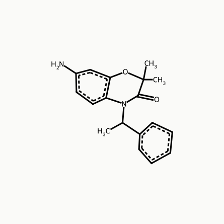 CC(c1ccccc1)N1C(=O)C(C)(C)Oc2cc(N)ccc21